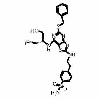 CC(C)C[C@H](CO)Nc1nc(SCc2ccccc2)nc2nc(NCCc3ccc(S(N)(=O)=O)cc3)sc12